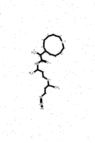 CC(CCOC(C)CCN=[N+]=[N-])NC(=O)C(C)C1CCCCCCCCCC1